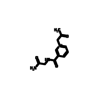 CC(=O)C[n+]1cccc(C(=O)NCC(N)=O)c1